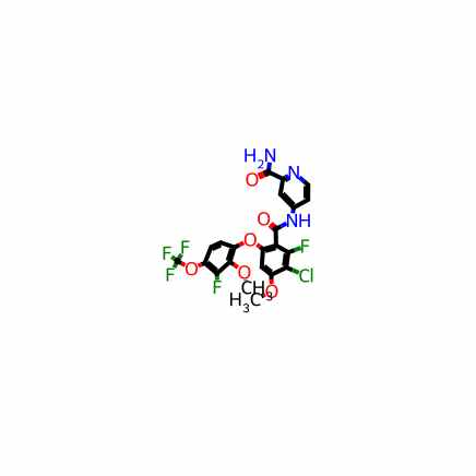 COc1cc(Oc2ccc(OC(F)(F)F)c(F)c2OC)c(C(=O)Nc2ccnc(C(N)=O)c2)c(F)c1Cl